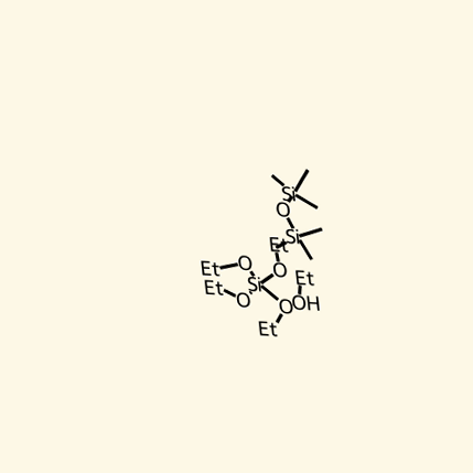 CCO.CCO[Si](OCC)(OCC)OCC.C[Si](C)(C)O[Si](C)(C)C